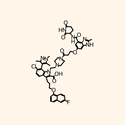 Cc1nc2c(C(=O)NC3CCC(=O)NC3=O)cc(OCCC(=O)N3CCN(CCn4c(C(=O)O)c(CCCOc5cccc6cc(F)ccc56)c5ccc(Cl)c(-c6c(C)nn(C)c6C)c54)CC3)cc2[nH]1